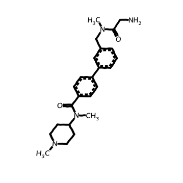 CN1CCC(N(C)C(=O)c2ccc(-c3cccc(CN(C)C(=O)CN)c3)cc2)CC1